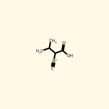 [C-]#[N+]C(C(=O)O)C(C)C